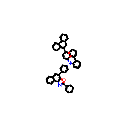 c1ccc(-c2nc3c(o2)c(-c2ccc(N(c4ccc(-c5cc6ccccc6c6ccccc56)cc4)c4ccccc4-c4ccccc4)cc2)cc2ccccc23)cc1